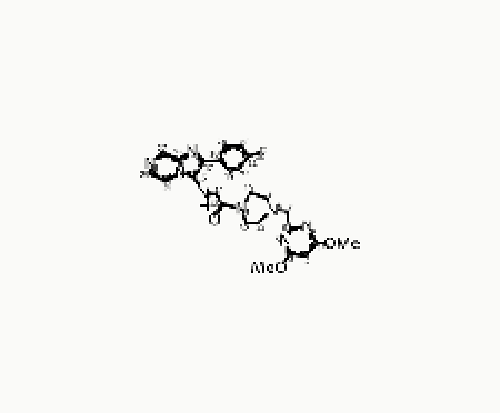 COc1cc(OC)nc(CN2CCN(C(=O)CNc3c(-c4ccc(F)cc4)nc4cnccn34)CC2)n1